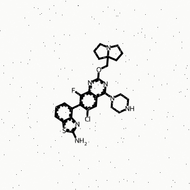 Nc1nc2c(-c3c(Cl)cc4c(N5CCNCC5)nc(OCC56CCCN5CCC6)nc4c3F)cccc2s1